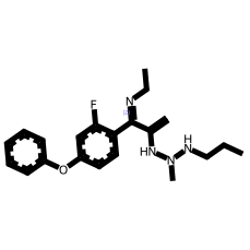 C=C(NN(C)NCCC)/C(=N\CC)c1ccc(Oc2ccccc2)cc1F